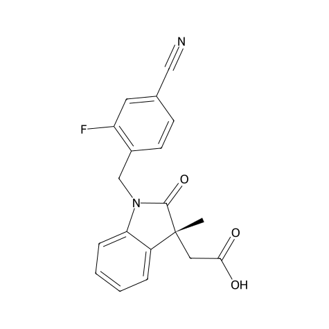 C[C@]1(CC(=O)O)C(=O)N(Cc2ccc(C#N)cc2F)c2ccccc21